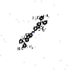 Cc1cc(C)cc(N(c2ccccc2)c2ccc3c(c2)C(C)(C)C2=CC(/C=C/c4ccc5c(c4)C(C)(C)c4cc(N(c6ccccc6)c6cc(C)cc(C)c6)ccc4-5)CC=C23)c1